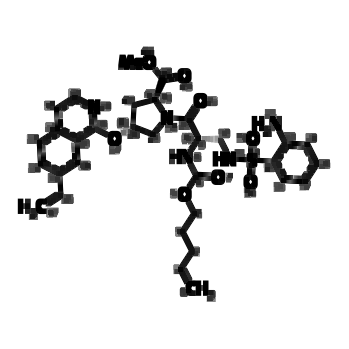 C=CCCCOC(=O)N[C@@H](CNS(=O)(=O)c1ccccc1N)C(=O)N1C[C@H](Oc2nccc3ccc(C=C)cc23)C[C@H]1C(=O)OC